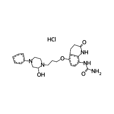 Cl.NC(=O)Nc1ccc(OCCCN2CCN(c3ccccc3)CC2O)c2c1NC(=O)CC2